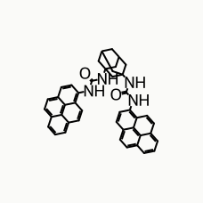 O=C(Nc1ccc2ccc3cccc4ccc1c2c34)NC12CC3CC(C1)CC(NC(=O)Nc1ccc4ccc5cccc6ccc1c4c56)(C3)C2